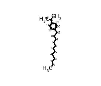 CCCCCCCCCCCCc1ccc(C(C)C)cc1